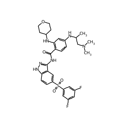 CC(CN(C)C)Nc1ccc(C(=O)Nc2n[nH]c3ccc(S(=O)(=O)c4cc(F)cc(F)c4)cc23)c(NC2CCOCC2)c1